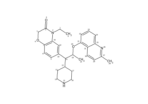 CCN1C(=O)COc2ccc(C(C3CCNCC3)C(C)Oc3cccc4nc(C)ccc34)cc21